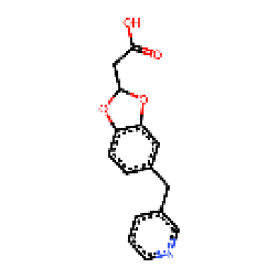 O=C(O)CC1Oc2ccc(Cc3cccnc3)cc2O1